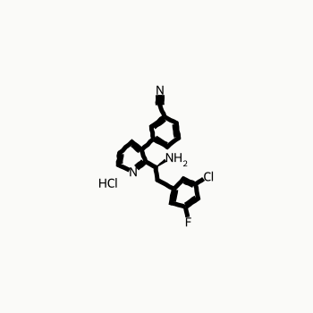 Cl.N#Cc1cccc(-c2cccnc2[C@@H](N)Cc2cc(F)cc(Cl)c2)c1